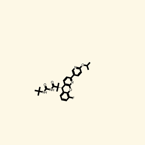 CC(C)Oc1ccc(-c2ccc3c(n2)Oc2c(F)cccc2[C@@H]3C(C)(C)C(=O)NC(=O)NC(C)(C)C)cn1